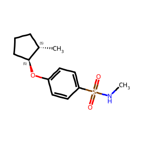 CNS(=O)(=O)c1ccc(O[C@H]2CCC[C@@H]2C)cc1